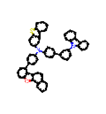 c1cc(-c2ccc(N(c3ccc(-c4cccc5oc6c7ccccc7ccc6c45)cc3)c3ccc4sc5ccccc5c4c3)cc2)cc(-n2c3ccccc3c3ccccc32)c1